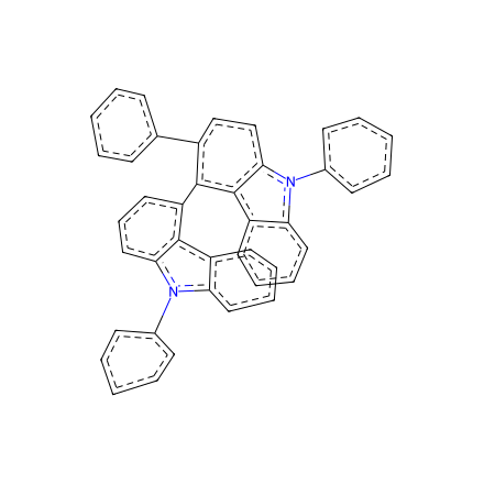 c1ccc(-c2ccc3c(c2-c2cccc4c2c2ccccc2n4-c2ccccc2)c2ccccc2n3-c2ccccc2)cc1